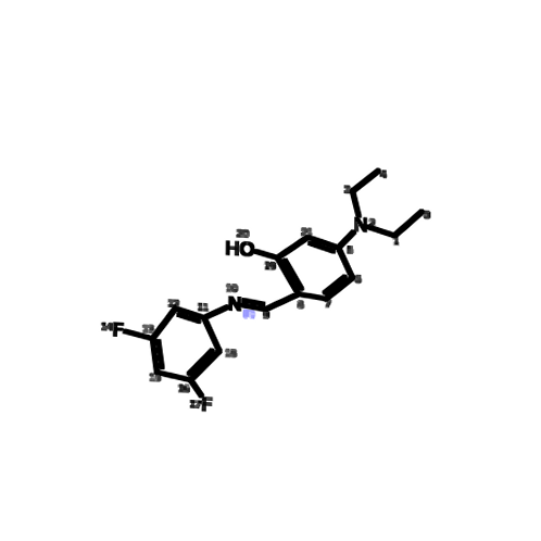 CCN(CC)c1ccc(/C=N/c2cc(F)cc(F)c2)c(O)c1